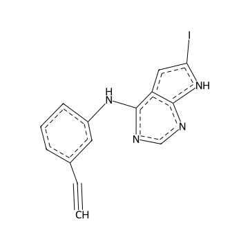 C#Cc1cccc(Nc2ncnc3[nH]c(I)cc23)c1